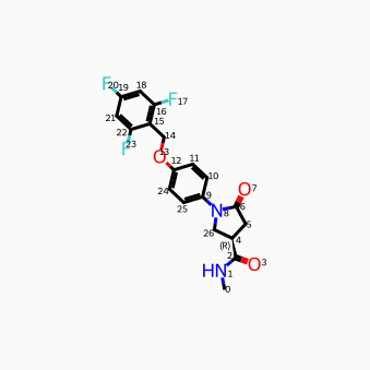 CNC(=O)[C@@H]1CC(=O)N(c2ccc(OCc3c(F)cc(F)cc3F)cc2)C1